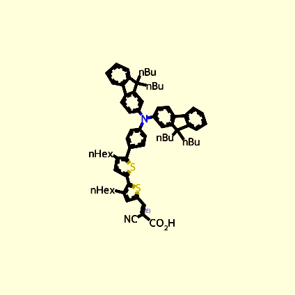 CCCCCCc1cc(-c2sc(/C=C(\C#N)C(=O)O)cc2CCCCCC)sc1-c1ccc(N(c2ccc3c(c2)C(CCCC)(CCCC)c2ccccc2-3)c2ccc3c(c2)C(CCCC)(CCCC)c2ccccc2-3)cc1